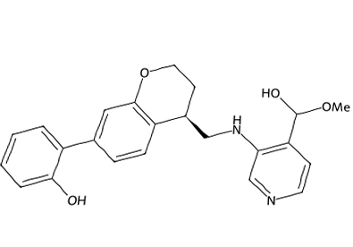 COC(O)c1ccncc1NC[C@@H]1CCOc2cc(-c3ccccc3O)ccc21